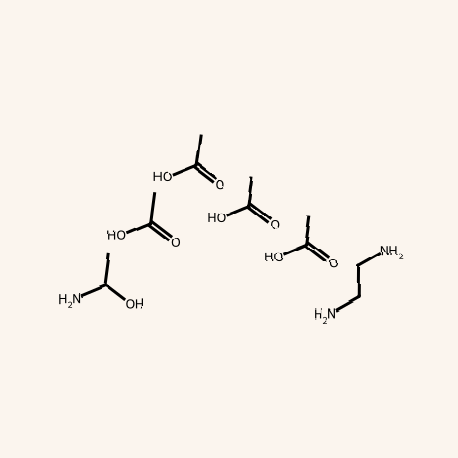 CC(=O)O.CC(=O)O.CC(=O)O.CC(=O)O.CC(N)O.NCCN